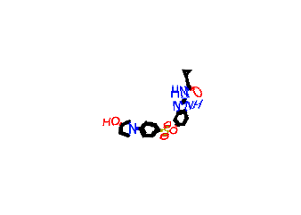 O=C(Nc1nc2cc(OS(=O)(=O)c3ccc(N4CCC(O)C4)cc3)ccc2[nH]1)C1CC1